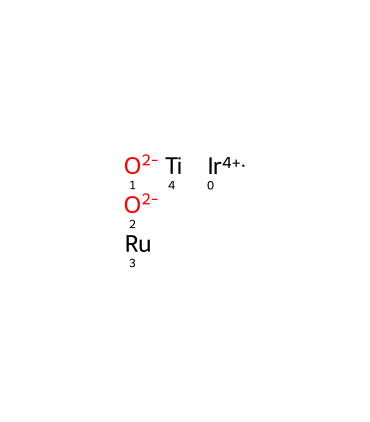 [Ir+4].[O-2].[O-2].[Ru].[Ti]